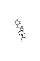 CCC(=O)N1CCc2c(cnn2Cc2ccccc2)C1